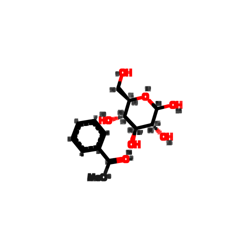 COC(=O)c1ccccc1.OC[C@H]1OC(O)[C@H](O)[C@@H](O)[C@@H]1O